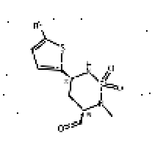 CN1[C@@H](C=O)C[C@@H](c2ccc(Br)s2)NS1(=O)=O